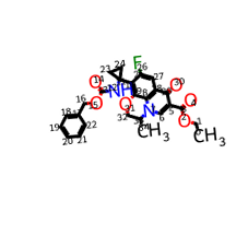 CCOC(=O)c1cn2c3c(c(C4(NC(=O)OCc5ccccc5)CC4)c(F)cc3c1=O)OCC2C